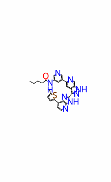 CCCCC(=O)Nc1cncc(-c2cc3c(-c4nc5c(-c6ccc(C)s6)ccnc5[nH]4)n[nH]c3cn2)c1